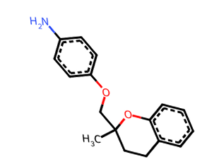 CC1(COc2ccc(N)cc2)CCc2ccccc2O1